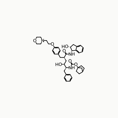 O=C(N[C@@H](Cc1ccccc1)[C@@H](O)C[C@@H](Cc1ccc(OCCN2CCOCC2)cc1)C(=O)N[C@H]1c2ccccc2C[C@H]1O)OC12CCC(CC1)C2